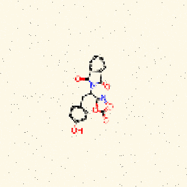 O=C1c2ccccc2C(=O)N1C(Cc1ccc(O)cc1)c1noc(=O)o1